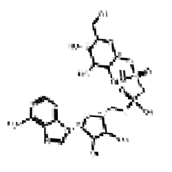 Nc1ncnc2c1ncn2[C@@H]1O[C@H](COP(=O)(O)OP(=O)(O)O[C@@H]2OC(CO)[C@@H](O)C(O)C2O)C(O)C1O